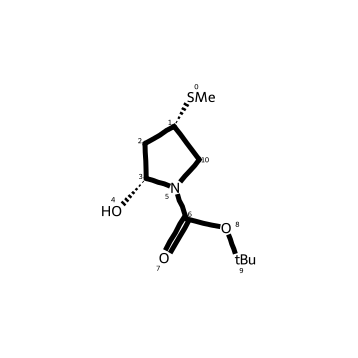 CS[C@H]1C[C@@H](O)N(C(=O)OC(C)(C)C)C1